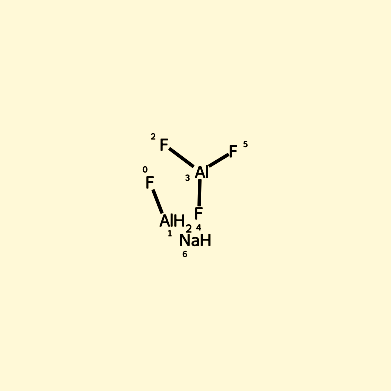 [F][AlH2].[F][Al]([F])[F].[NaH]